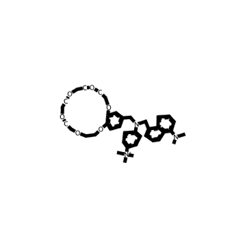 CN(C)c1cccc2c(CN(Cc3ccc4c(c3)OCCOCCOCCOCCOCCO4)c3ccc([N+](C)(C)C)cc3)cccc12